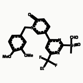 CCC(F)(F)c1cc(-c2ccc(=O)n(Cc3ccc(OC)c(OC)c3)c2)nc([SH](C)(=O)C=O)n1